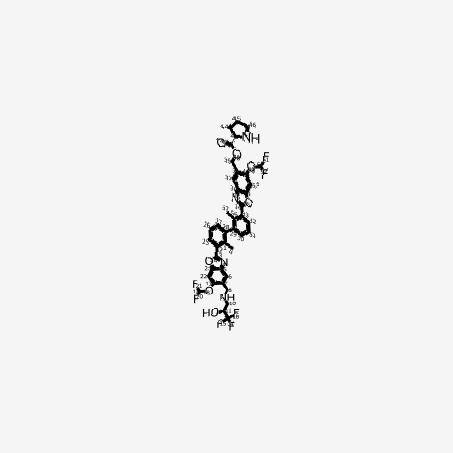 Cc1c(-c2nc3cc(CNCC(O)C(F)(F)F)c(OC(F)F)cc3o2)cccc1-c1cccc(-c2nc3cc(COC(=O)[C@@H]4CCCN4)c(OC(F)F)cc3o2)c1C